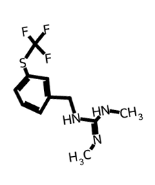 C/N=C(/NC)NCc1cccc(SC(F)(F)F)c1